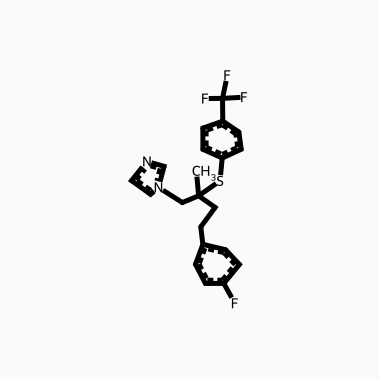 CC(CCc1ccc(F)cc1)(Cn1ccnc1)Sc1ccc(C(F)(F)F)cc1